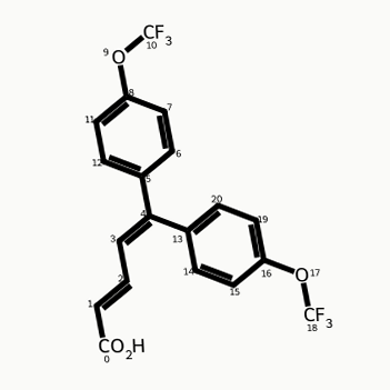 O=C(O)/C=C/C=C(c1ccc(OC(F)(F)F)cc1)c1ccc(OC(F)(F)F)cc1